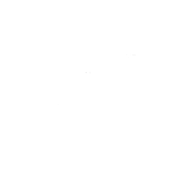 OCCOC1CCC(O)CC1